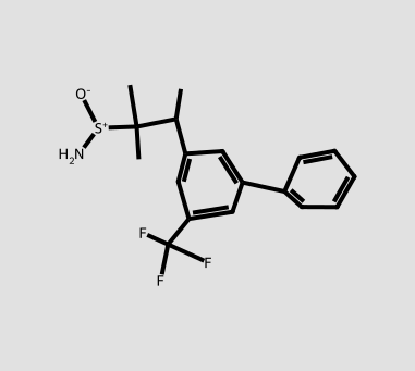 CC(c1cc(-c2ccccc2)cc(C(F)(F)F)c1)C(C)(C)[S+](N)[O-]